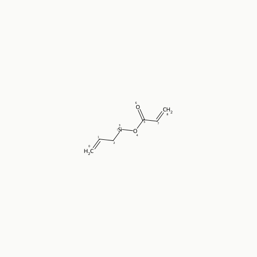 C=CC[Si]OC(=O)C=C